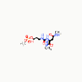 CNC(=O)CC(NC(=O)NCCCOP(=O)(O)OC)C(=O)NC